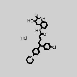 Cl.O=C(C=CC=C(c1ccc(Cl)cc1)c1ccc(N2CCCCC2)cc1)Nc1cccc2c1CC(O)C(=O)N2